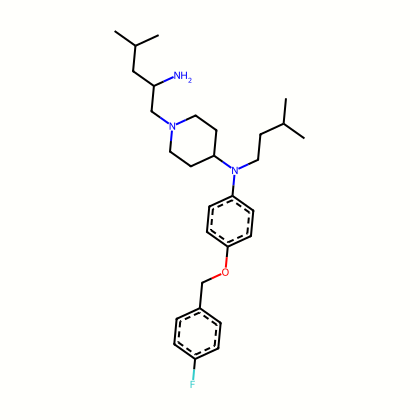 CC(C)CCN(c1ccc(OCc2ccc(F)cc2)cc1)C1CCN(CC(N)CC(C)C)CC1